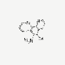 Nc1c(O)c2cccnc2c2ncccc12